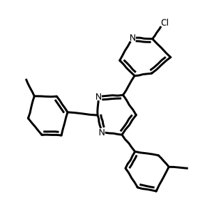 CC1C=C(c2nc(C3=CC=CC(C)C3)cc(-c3ccc(Cl)nc3)n2)C=CC1